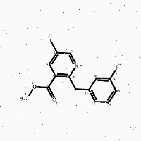 COC(=O)c1cc(I)cnc1Cc1cccc(F)c1